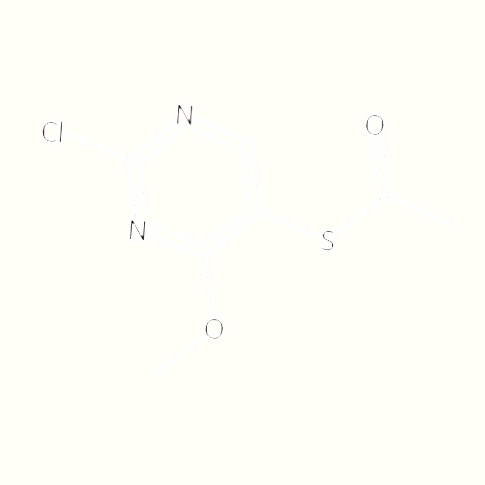 COc1nc(Cl)ncc1SC(C)=O